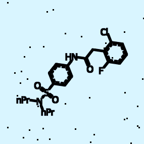 CCCN(CCC)S(=O)(=O)c1ccc(NC(=O)Cc2c(F)cccc2Cl)cc1